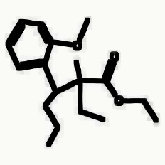 CCCC(c1ccccc1OC)C(C)(CC)C(=O)OCC